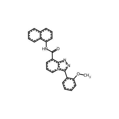 COc1ccccc1-c1nnc2c(C(=O)Nc3cccc4ccccc34)cccn12